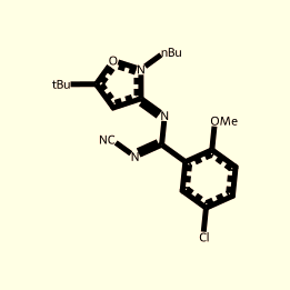 CCCCn1oc(C(C)(C)C)c/c1=N\C(=NC#N)c1cc(Cl)ccc1OC